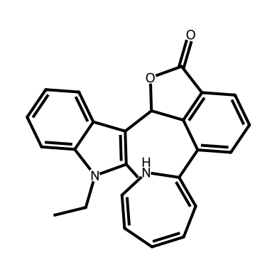 CCn1c(C)c(C2OC(=O)c3cccc(C4=CC=CC=CN4)c32)c2ccccc21